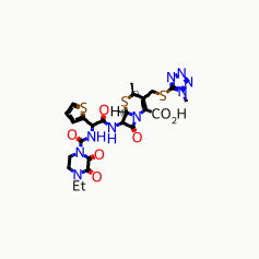 CCN1CCN(C(=O)NC(C(=O)NC2C(=O)N3C(C(=O)O)=C(CSc4nnnn4C)[C@H](C)S[C@H]23)c2cccs2)C(=O)C1=O